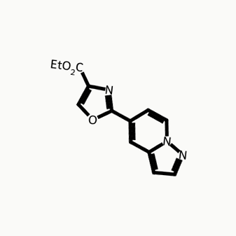 CCOC(=O)c1coc(-c2ccn3nccc3c2)n1